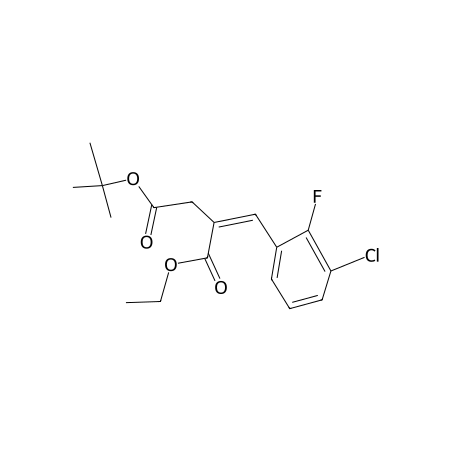 CCOC(=O)/C(=C\c1cccc(Cl)c1F)CC(=O)OC(C)(C)C